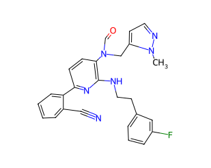 Cn1nccc1CN(C=O)c1ccc(-c2ccccc2C#N)nc1NCCc1cccc(F)c1